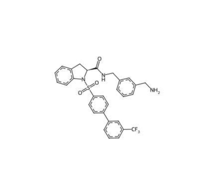 NCc1cccc(CNC(=O)[C@@H]2Cc3ccccc3N2S(=O)(=O)c2ccc(-c3cccc(C(F)(F)F)c3)cc2)c1